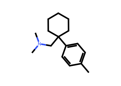 Cc1ccc(C2(CN(C)C)CCCCC2)cc1